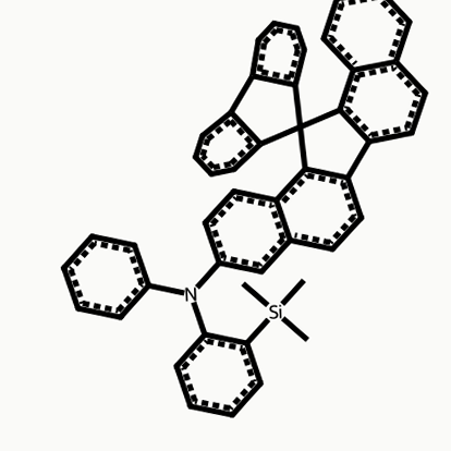 C[Si](C)(C)c1ccccc1N(c1ccccc1)c1ccc2c3c(ccc2c1)-c1ccc2ccccc2c1C31c2ccccc2-c2ccccc21